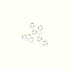 c1cnc2c(c1)cc(-c1cc3c(-c4ccc5oc6ccccc6c5c4)nc4ccccc4c3c3c1oc1ccccc13)c1cccnc12